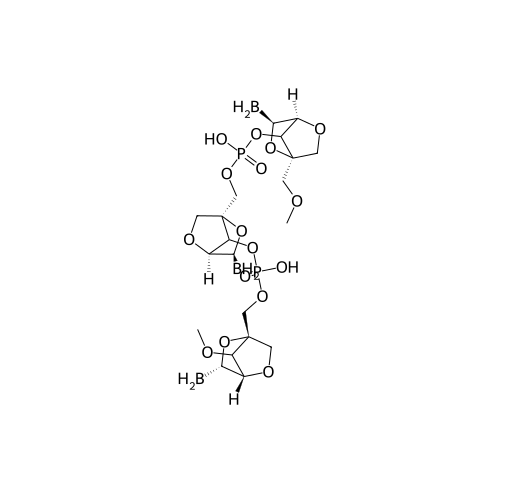 B[C@@H]1O[C@]2(COP(=O)(O)OC3[C@@H]4OC[C@@]3(COP(=O)(O)OC3[C@@H]5OC[C@@]3(COC)O[C@H]5B)O[C@H]4B)CO[C@H]1C2OC